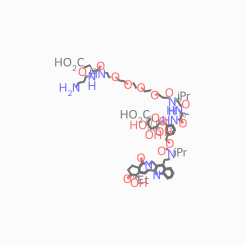 CC[C@@]1(O)C(=O)CCc2c1cc1n(c2=O)Cc2c-1nc1ccccc1c2CCN(C(=O)OCc1ccc(NC(=O)[C@H](C)NC(=O)[C@@H](NC(=O)CCOCCOCCOCCOCCNC(=O)[C@H](CCC(=O)O)NC(=O)CCN)C(C)C)c(O[C@@H]2O[C@H](C(=O)O)[C@@H](O)[C@H](O)[C@H]2O)c1)C(C)C